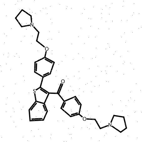 O=C(c1ccc(OCCN2CCCC2)cc1)c1c(-c2ccc(OCCN3CCCC3)cc2)sc2ccccc12